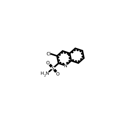 NS(=O)(=O)c1nc2ccccc2cc1Cl